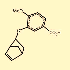 COc1ccc(C(=O)O)cc1OC1CC2C=CC1C2